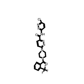 O=C(Nc1ccc(Cl)nn1)c1ccc(N2CCN(C(=O)c3ccccc3C(F)(F)F)CC2)nn1